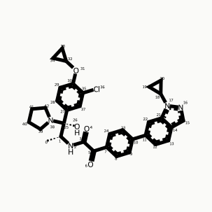 C[C@@H](NC(=O)C(=O)c1ccc(-c2ccc3cnn(C4CC4)c3c2)cc1)[C@](O)(c1ccc(OC2CC2)c(Cl)c1)N1CCCC1